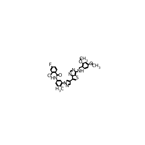 COc1ccc(CNc2ncnc3c(-c4cnn(-c5cc(NC(=O)c6ccc(F)cc6Cl)ccc5C)c4)csc23)c(OC)c1